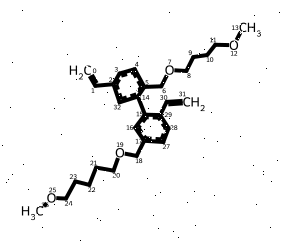 C=Cc1ccc(COCCCCOC)c(-c2cc(COCCCCCOC)ccc2C=C)c1